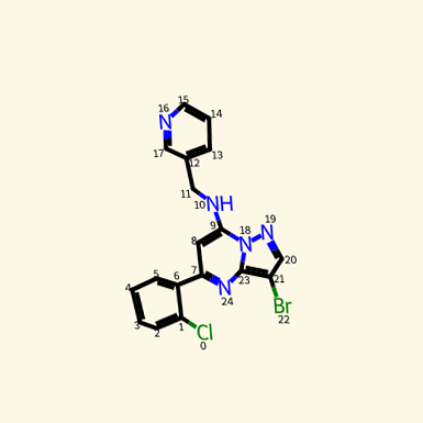 Clc1ccccc1-c1cc(NCc2cccnc2)n2ncc(Br)c2n1